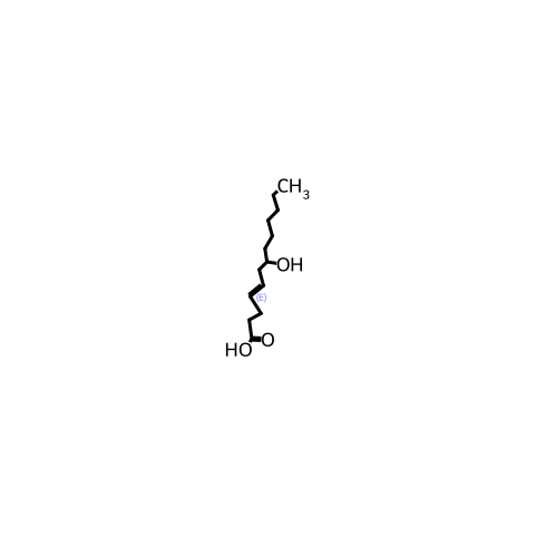 CCCCCCC(O)C/C=C/CCC(=O)O